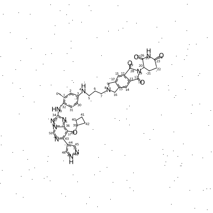 Cc1cc(NCCCN2Cc3cc4c(cc3C2)C(=O)N(C2CCC(=O)NC2=O)C4=O)ccc1Nc1nc2c(OC3CCC3)c(-c3cn[nH]c3)ncn2n1